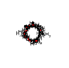 CCCC[C@H]1C(=O)N(C)[C@@H](CCCC)C(=O)N[C@@H](CO)C(=O)N[C@H](C(=O)NCC(N)=O)CCCNCC(=O)N[C@@H](Cc2ccc(O)cc2)C(=O)N(C)[C@@H](C)C(=O)NC(CC=O)C(=O)N2CCC[C@H]2C(=O)N[C@@H](Cc2cnc[nH]2)C(=O)N[C@@H](CCC(N)=O)C(=O)N2C[C@H](O)C[C@H]2C(=O)N[C@@H](Cc2c[nH]c3ccccc23)C(=O)N[C@@H](CO)C(=O)N[C@@H](Cc2c[nH]c3ccccc23)C(=O)N1C